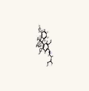 CCC(C)C/C=C/c1cc(OC)c(C2(O)c3cccc(SC)c3C2(F)F)cc1C